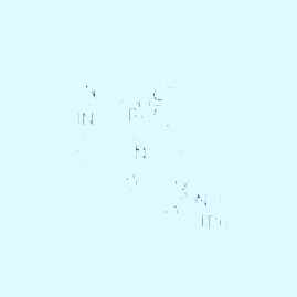 Cc1ccc(Nc2cc(OC(F)(F)F)ccn2)cc1C(=O)N1CC(F)(F)CCC1COC(=O)NC(C)(C)C